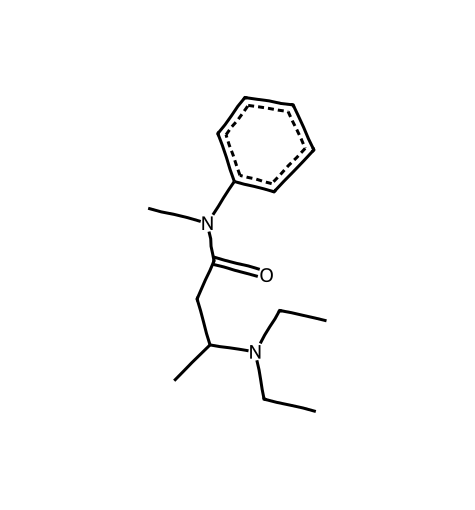 CCN(CC)C(C)CC(=O)N(C)c1ccccc1